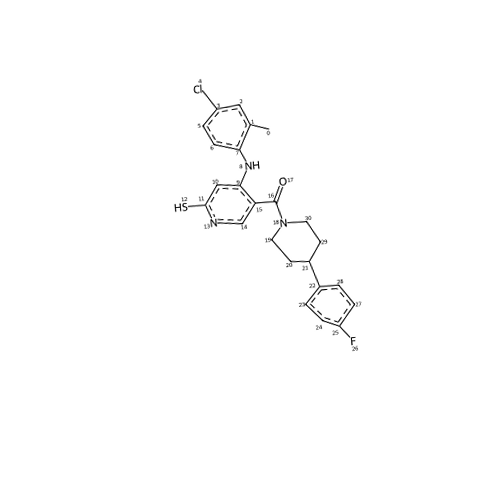 Cc1cc(Cl)ccc1Nc1cc(S)ncc1C(=O)N1CCC(c2ccc(F)cc2)CC1